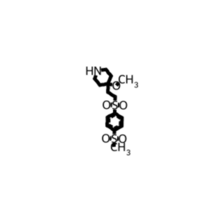 COC1(CCS(=O)(=O)c2ccc(S(C)(=O)=O)cc2)CCNCC1